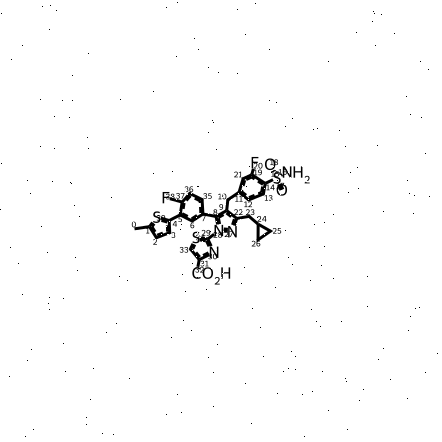 Cc1ccc(-c2cc(-c3c(Cc4ccc(S(N)(=O)=O)c(F)c4)c(CC4CC4)nn3-c3nc(C(=O)O)cs3)ccc2F)s1